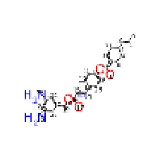 CCCC1CCC(C(=O)Oc2ccc(/C=C/C(=O)OCc3cc(N)cc(N)c3)cc2)CC1